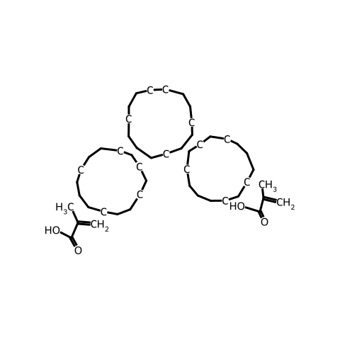 C1CCCCCCCCCCCCC1.C1CCCCCCCCCCCCC1.C1CCCCCCCCCCCCC1.C=C(C)C(=O)O.C=C(C)C(=O)O